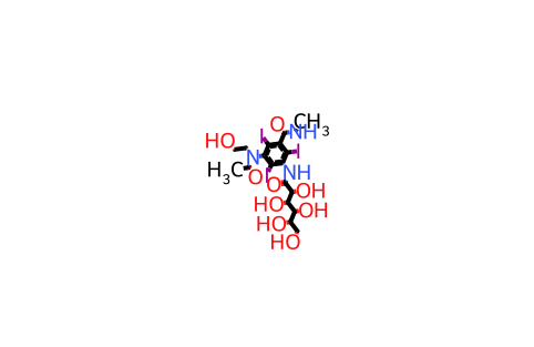 CNC(=O)c1c(I)c(NC(=O)C(O)C(O)C(O)C(O)CO)c(I)c(N(CCO)C(C)=O)c1I